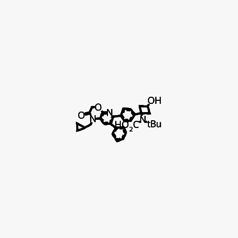 CC(C)(C)N(C(=O)O)C1(c2ccc(-c3nc4c(cc3-c3ccccc3)N(CC3CC3)C(=O)CO4)cc2)CC(O)C1